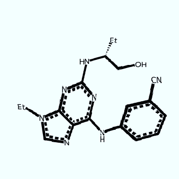 CC[C@H](CO)Nc1nc(Nc2cccc(C#N)c2)c2ncn(CC)c2n1